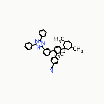 CCC1(c2ccc(-c3cccc(-c4nc(-c5ccccc5)nc(-c5ccccc5)n4)c3)c(-c3ccc(C#N)cc3)c2)C[C@H](C)CC[C@H](C)C1